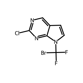 FC(F)(Br)n1ccc2cnc(Cl)nc21